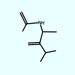 C=C(C)NC(C)C(=C)C(C)C